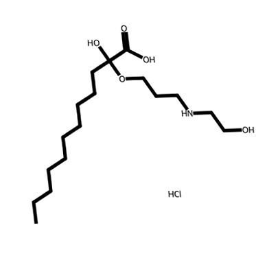 CCCCCCCCCCC(O)(OCCCNCCO)C(=O)O.Cl